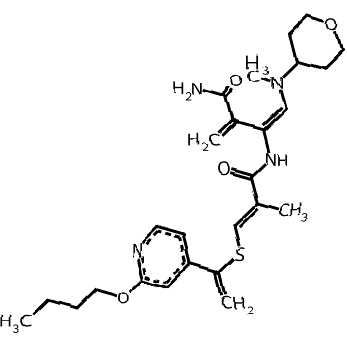 C=C(C(N)=O)/C(=C\N(C)C1CCOCC1)NC(=O)/C(C)=C/SC(=C)c1ccnc(OCCCC)c1